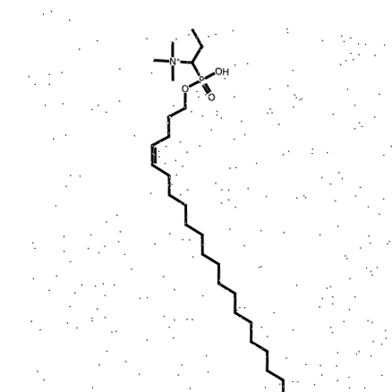 CCCCCCCCCCCCCCCC/C=C\CCCOP(=O)(O)C(CC)[N+](C)(C)C